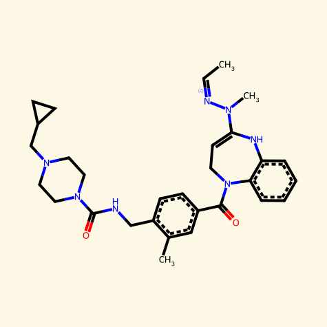 C/C=N\N(C)C1=CCN(C(=O)c2ccc(CNC(=O)N3CCN(CC4CC4)CC3)c(C)c2)c2ccccc2N1